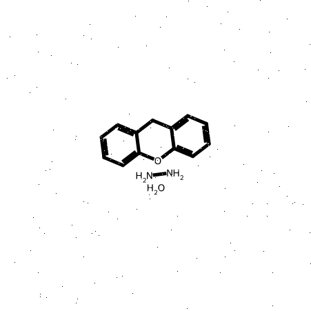 NN.O.c1ccc2c(c1)Cc1ccccc1O2